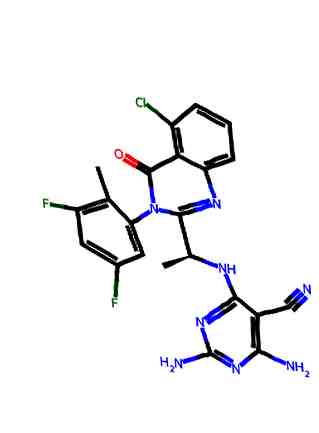 Cc1c(F)cc(F)cc1-n1c([C@H](C)Nc2nc(N)nc(N)c2C#N)nc2cccc(Cl)c2c1=O